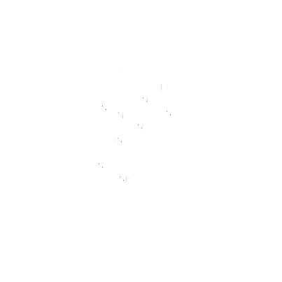 C[C@@H]1CCCCN1c1nc(NCc2nc3ccccc3[nH]2)n2ncc(Br)c2n1